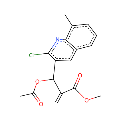 C=C(C(=O)OC)C(OC(C)=O)c1cc2cccc(C)c2nc1Cl